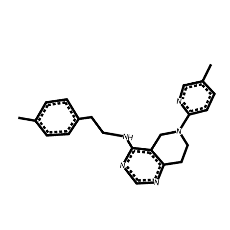 Cc1ccc(CCNc2ncnc3c2CN(c2ccc(C)cn2)CC3)cc1